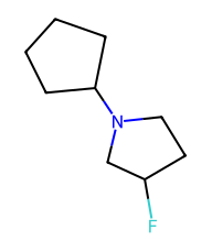 FC1CCN(C2CCCC2)C1